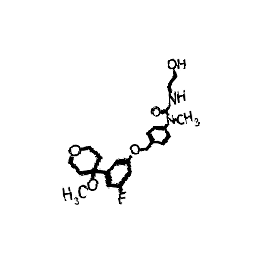 COC1(c2cc(F)cc(OCc3ccc(N(C)C(=O)NCCO)cc3)c2)CCOCC1